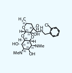 CN[C@@H]1[C@H](O)[C@H](NC)[C@H]2O[C@]3(O)[C@H](O[C@@H]2[C@H]1O)O[C@H](C)C[C@@]3(O)CNCc1ccccc1Cl